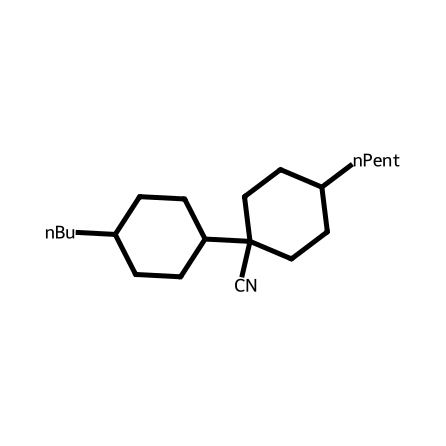 CCCCCC1CCC(C#N)(C2CCC(CCCC)CC2)CC1